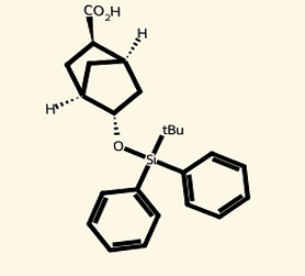 CC(C)(C)[Si](O[C@H]1C[C@H]2C[C@@H]1C[C@H]2C(=O)O)(c1ccccc1)c1ccccc1